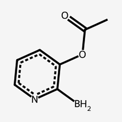 Bc1ncccc1OC(C)=O